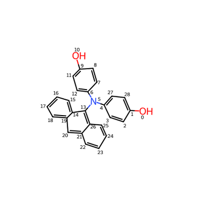 Oc1ccc(N(c2ccc(O)cc2)c2c3ccccc3cc3ccccc23)cc1